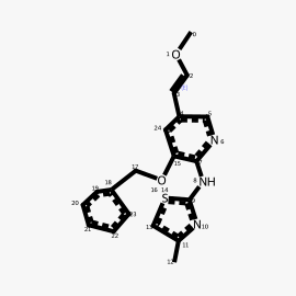 CO/C=C/c1cnc(Nc2nc(C)cs2)c(OCc2ccccc2)c1